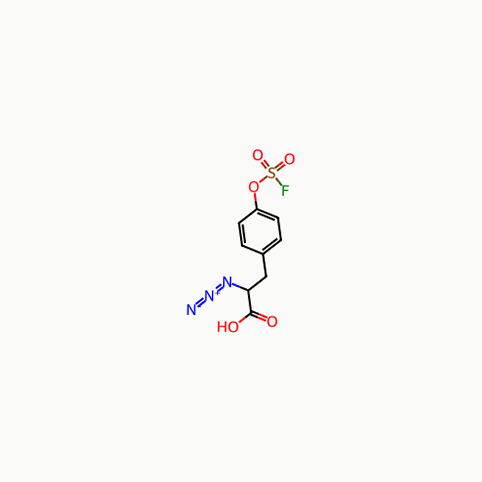 [N-]=[N+]=NC(Cc1ccc(OS(=O)(=O)F)cc1)C(=O)O